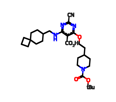 CC(C)(C)OC(=O)N1CCC(CCOc2nc(C#N)nc(NCC3CCC4(CCC4)CC3)c2C(=O)O)CC1